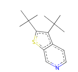 CC(C)(C)c1sc2cnccc2c1C(C)(C)C